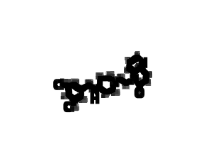 O=c1ccc2ncccc2n1CCN1CCC(NCc2cc(Cl)cc(Cl)c2)CC1